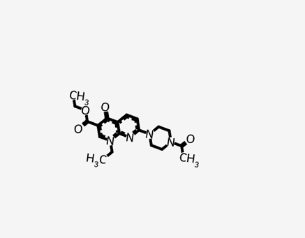 CCOC(=O)c1cn(CC)c2nc(N3CCN(C(C)=O)CC3)ccc2c1=O